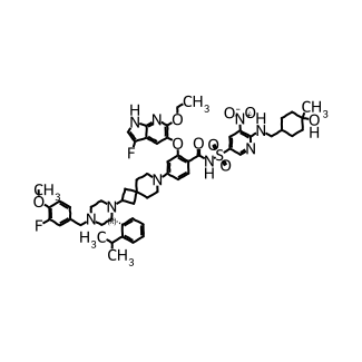 CCOc1nc2[nH]cc(F)c2cc1Oc1cc(N2CCC3(CC2)CC(N2CCN(Cc4ccc(OC)c(F)c4)C[C@H]2c2ccccc2C(C)C)C3)ccc1C(=O)NS(=O)(=O)c1cnc(NCC2CCC(C)(O)CC2)c([N+](=O)[O-])c1